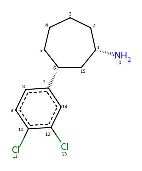 N[C@H]1CCCC[C@@H](c2ccc(Cl)c(Cl)c2)C1